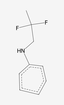 CC(F)(F)CNc1ccccc1